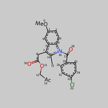 COc1ccc2c(c1)c(CC(=O)OCC(C)=O)c(C)n2C(=O)c1ccc(Cl)cc1